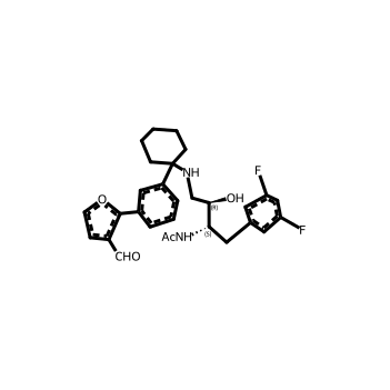 CC(=O)N[C@@H](Cc1cc(F)cc(F)c1)[C@H](O)CNC1(c2cccc(-c3occc3C=O)c2)CCCCC1